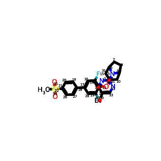 CCc1cnc(N2C3CCC2CC(Oc2c(F)cc(-c4ccc(S(C)(=O)=O)cc4)cc2F)C3)nc1